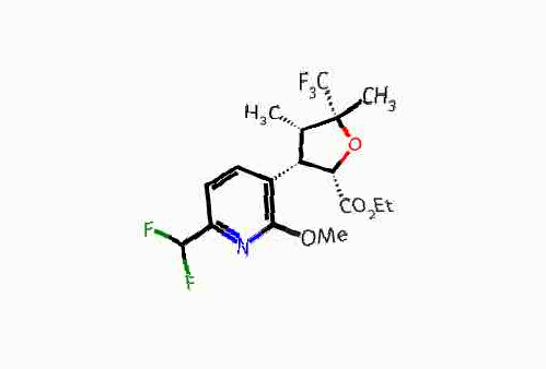 CCOC(=O)[C@H]1O[C@@](C)(C(F)(F)F)[C@@H](C)[C@H]1c1ccc(C(F)F)nc1OC